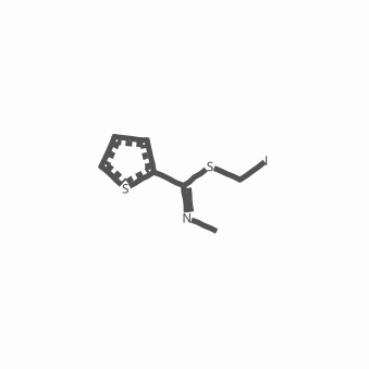 C/N=C(\SCI)c1cccs1